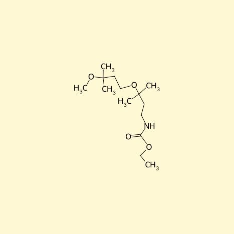 CCOC(=O)NCCC(C)(C)OCCC(C)(C)OC